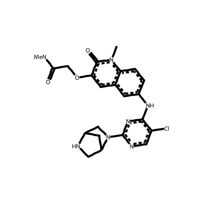 CNC(=O)COc1cc2cc(Nc3nc(N4CC5CC4CN5)ncc3Cl)ccc2n(C)c1=O